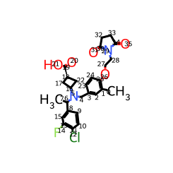 Cc1cc(CN(C(C)c2ccc(Cl)c(F)c2)[C@H]2C[C@@H](C(=O)O)C2)ccc1OCCN1C(=O)CCC1=O